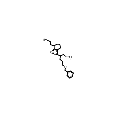 CC(C)CCC1CCCc2c(C(CCCOCc3ccccc3)CC(=O)O)noc21